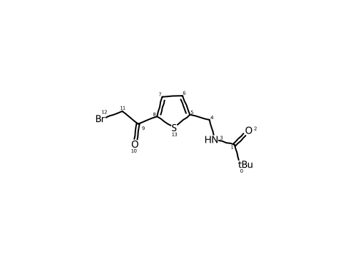 CC(C)(C)C(=O)NCc1ccc(C(=O)CBr)s1